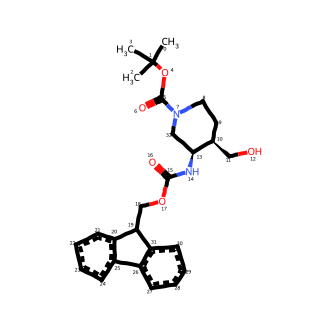 CC(C)(C)OC(=O)N1CC[C@@H](CO)[C@@H](NC(=O)OCC2c3ccccc3-c3ccccc32)C1